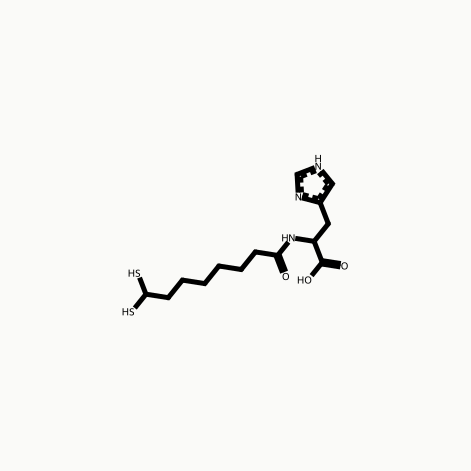 O=C(CCCCCCC(S)S)NC(Cc1c[nH]cn1)C(=O)O